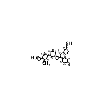 C#Cc1cccc(N(C[C@H]2CC[C@H](c3ccc(OC)c(C)c3)CC2)C(=O)[C@H]2CC[C@H](I)CC2)c1